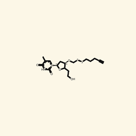 C#CCCCSSCO[C@@H]1C[C@H](n2cc(C)c(=O)[nH]c2=O)OC1CCO